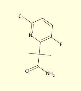 CC(C)(C(N)=O)c1nc(Cl)ccc1F